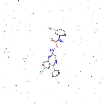 O=C(Nc1cccc(Br)c1)ONC1=Nc2ccc(Cl)cc2C(c2ccccc2)=NC1